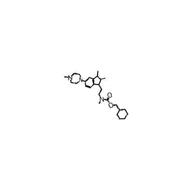 CC1c2cc(N3CCN(C)CC3)ccc2C(CCN(C)C(=O)OCC2CCCCC2)[C@@H]1C